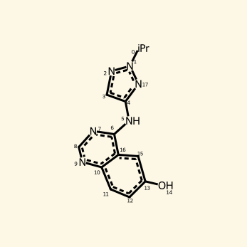 CC(C)n1ncc(Nc2ncnc3ccc(O)cc23)n1